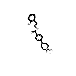 C[N+]1(C)CCN(c2ccc(C(=O)N/N=C/c3ccccc3O)cc2)CC1